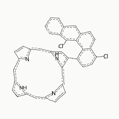 Clc1ccc(-c2cc3cc4nc(cc5ccc(cc6nc(cc2[nH]3)C=C6)[nH]5)C=C4)c2c1ccc1cc3ccccc3c(Cl)c12